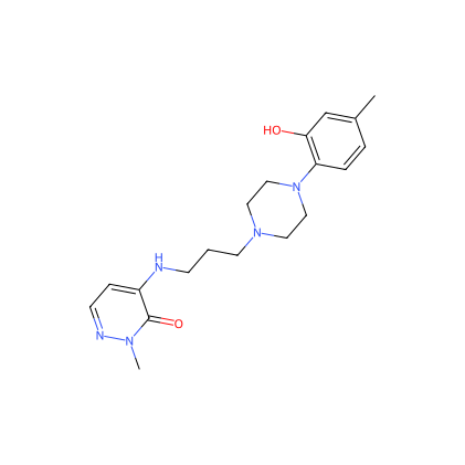 Cc1ccc(N2CCN(CCCNc3ccnn(C)c3=O)CC2)c(O)c1